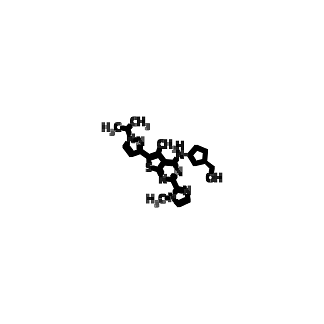 Cc1c(-c2ccn(C(C)C)n2)sc2nc(-c3nccn3C)nc(N[C@@H]3CC[C@@H](CO)C3)c12